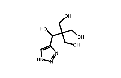 OCC(CO)(CO)C(O)c1c[nH]nn1